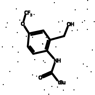 CC(C)(C)C(=O)Nc1ccc(OC(F)(F)F)cc1CO